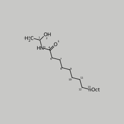 [CH2]C(O)NC(=O)CCCCCCCCCCCCCCC